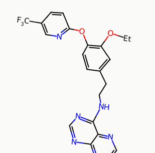 CCOc1cc(CCNc2ncnc3nccnc23)ccc1Oc1ccc(C(F)(F)F)cn1